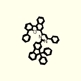 c1ccc(-c2cc(-c3cc4ccccc4c4c3oc3c(-c5ccccc5)cccc34)nc(-c3ccc4c(c3)C(c3ccccc3)(c3ccccc3)c3ccccc3-4)n2)cc1